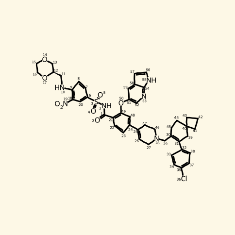 O=C(NS(=O)(=O)c1ccc(NC[C@@H]2COCCO2)c([N+](=O)[O-])c1)c1ccc(C2=CCN(CC3=C(c4ccc(Cl)cc4)CC4(CCC4)CC3)CC2)cc1Oc1cnc2[nH]ccc2c1